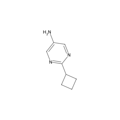 Nc1cnc(C2CCC2)nc1